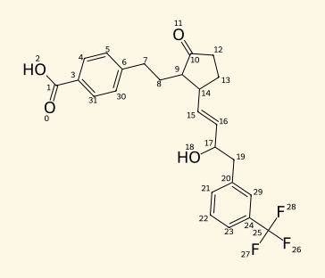 O=C(O)c1ccc(CCC2C(=O)CCC2C=CC(O)Cc2cccc(C(F)(F)F)c2)cc1